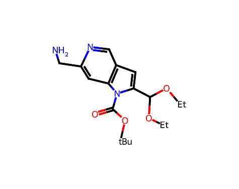 CCOC(OCC)c1cc2cnc(CN)cc2n1C(=O)OC(C)(C)C